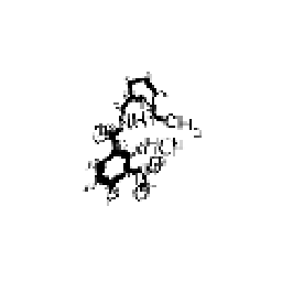 CCN1CCCC1CNC(=O)c1ccc(F)c([N+](=O)[O-])c1.Cl